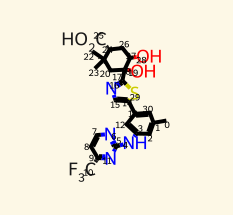 Cc1cc(Nc2nccc(C(F)(F)F)n2)cc(-c2cnc(C3(O)CC(C)(C)[C@@H](C(=O)O)CC3O)s2)c1